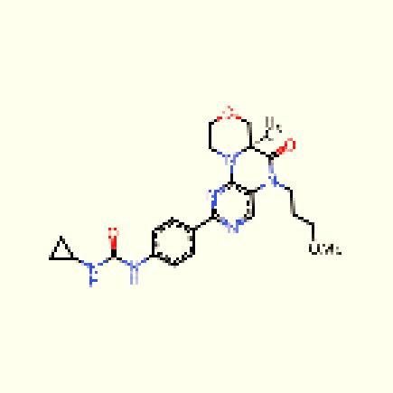 COCCCN1C(=O)[C@]2(C)COCCN2c2nc(-c3ccc(NC(=O)NC4CC4)cc3)ncc21